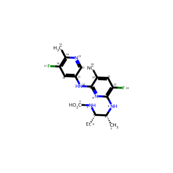 CC[C@H](NC(=O)O)[C@@H](C)Nc1nc(Nc2cnc(C)c(F)c2)c(C#N)cc1F